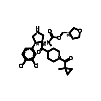 CN(C(=O)OC[C@H]1CCOC1)[C@@]1(C(=O)C2CCN(C(=O)C3(C)CC3)CC2)CNC[C@@H]1c1ccc(Cl)c(Cl)c1